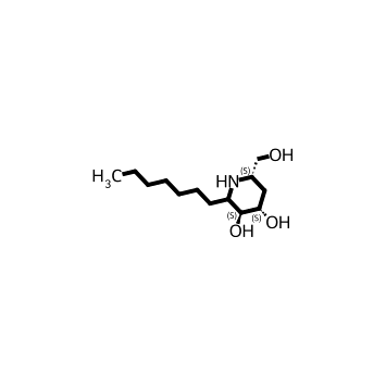 CCCCCCCC1N[C@H](CO)C[C@H](O)[C@H]1O